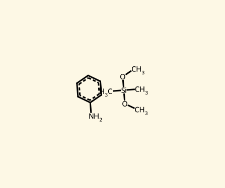 CO[Si](C)(C)OC.Nc1ccccc1